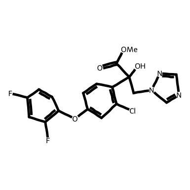 COC(=O)C(O)(Cn1cncn1)c1ccc(Oc2ccc(F)cc2F)cc1Cl